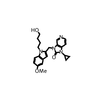 COc1ccc2c(c1)cc(Cn1c(=O)n(C3CC3)c3ccncc31)n2CCCCO